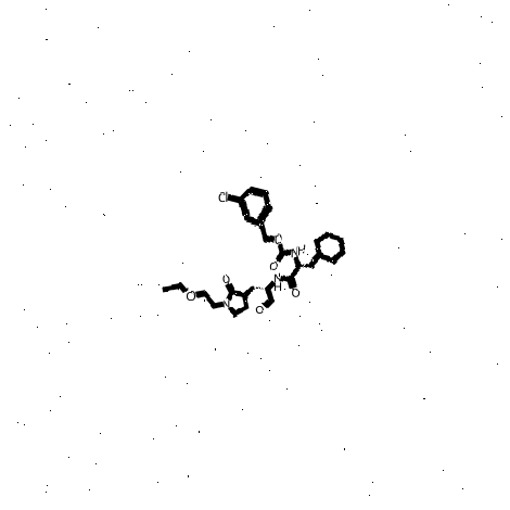 CCOCCN1CCC(C[C@@H](C=O)NC(=O)[C@H](CC2CCCCC2)NC(=O)OCc2cccc(Cl)c2)C1=O